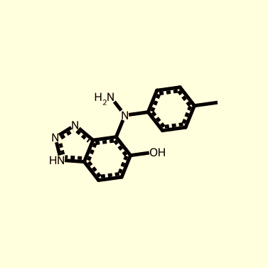 Cc1ccc(N(N)c2c(O)ccc3[nH]nnc23)cc1